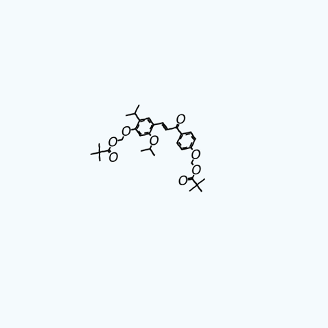 CC(C)Oc1cc(OCOC(=O)C(C)(C)C)c(C(C)C)cc1/C=C/C(=O)c1ccc(OCOC(=O)C(C)(C)C)cc1